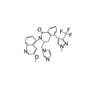 COc1cnc2cccc(N3C(=O)c4cccc(-c5cn(C)nc5C(F)(F)F)c4CC3Cn3ccnc3)c2c1